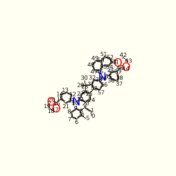 C/C=C\c1c(C)cccc1N(c1cccc(C2OCCO2)c1)c1ccc2c(c1)C(C)(C)c1cc(N(c3cccc(C4OCCO4)c3)c3cccc4ccccc34)ccc1-2